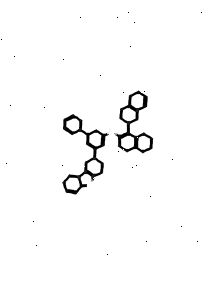 C1=CCC(C2C=C(C3CCC4=C(C3)C3CCC=CC3S4)C=C(NC3=C(C4CCC5=C(C=CCC5)C4)C4=C(CCCC4)CC3)C2)C=C1